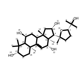 CC(C)(O)[C@@H]1CC[C@](C)([C@H]2[C@@H](O)C[C@@]3(C)C4C[C@H](O)C5C(C)(C)[C@@H](O)CC[C@]5(C)C4=C[C@@H](O)[C@]23C)O1